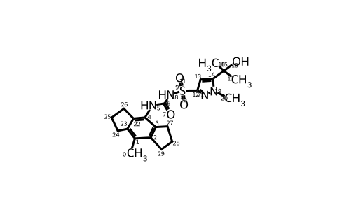 Cc1c2c(c(NC(=O)NS(=O)(=O)c3cc(C(C)(C)O)n(C)n3)c3c1CCC3)CCC2